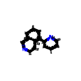 c1ccc(-c2cccc3cnccc23)nc1